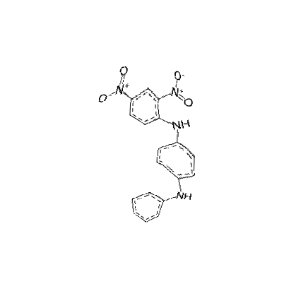 O=[N+]([O-])c1ccc(Nc2ccc(Nc3ccccc3)cc2)c([N+](=O)[O-])c1